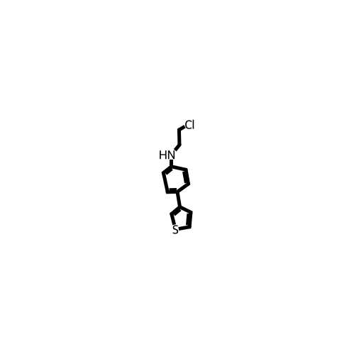 ClCCNc1ccc(-c2ccsc2)cc1